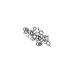 Cc1cccc(C[C@H](NC(=O)Nc2ccc(I)cc2)C(=O)N[C@@H](CO)C(=O)N2CCC[C@H]2C(=O)N2CCCC[C@H]2C(=O)N[C@@H](C)C(=O)N2C[C@@H](C)C[C@@]23CC3=O)c1